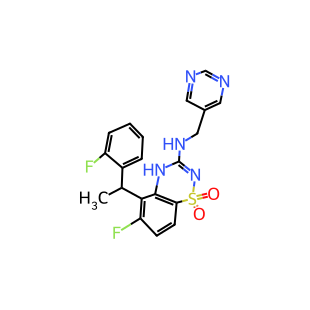 CC(c1ccccc1F)c1c(F)ccc2c1NC(NCc1cncnc1)=NS2(=O)=O